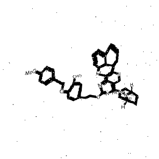 COc1ccc(COc2ccc(CCOc3nc(N4C[C@H]5CC[C@@H](C4)N5C(=O)O)c4cnc(-c5cccc6cccc(Cl)c56)c(F)c4n3)cc2C=O)cc1